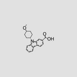 CO[C@H]1CC[C@H](n2c3ccccc3c3ccc(C(=O)O)cc32)CC1